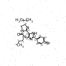 CCCN1C(=O)N2C[C@H](C(C)C)N=C2c2[nH]c(-c3ccc(Br)cc3)nc21